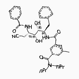 CCCN(CCC)C(=O)c1cc(C)cc(C(=O)N[C@H](Cc2ccccc2)[C@@H](O)[C@H](O)[C@H](CC#N)NC(=O)c2ccccc2)c1